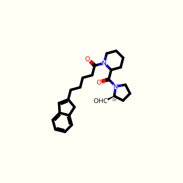 O=C[C@@H]1CCCN1C(=O)C1CCCCN1C(=O)CCCCC1=Cc2ccccc2C1